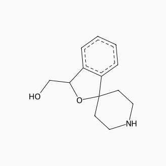 OCC1OC2(CCNCC2)c2ccccc21